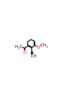 C#CC1=C(C(C)=O)[CH]CC=C1OC